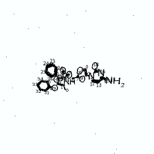 C[C@H](NP(=O)(OC[C@H]1OC[C@@H](n2ccc(N)nc2=O)O1)Oc1ccccc1)C(=O)OC1CCCCC1